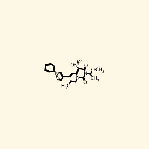 CCCn1c(C=Cc2cnn(-c3ccccc3)c2)c([N+](=O)[O-])c(=O)n(C(C)OC)c1=O